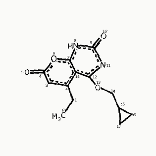 CCc1cc(=O)oc2[nH]c(=O)nc(OCC3CC3)c12